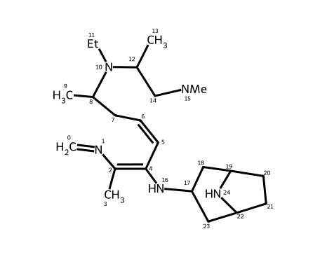 C=N/C(C)=C(\C=C/CC(C)N(CC)C(C)CNC)NC1CC2CCC(C1)N2